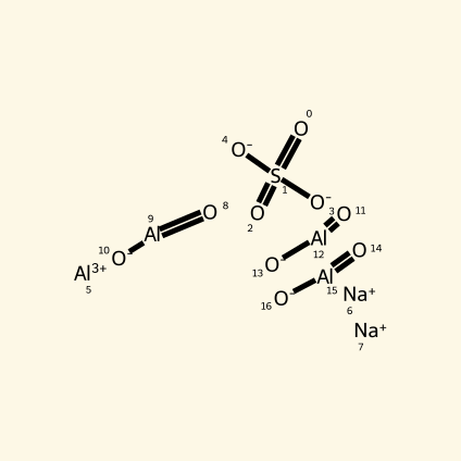 O=S(=O)([O-])[O-].[Al+3].[Na+].[Na+].[O]=[Al][O-].[O]=[Al][O-].[O]=[Al][O-]